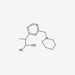 CC(c1cccc(CN2CCCCC2)c1)C(O)C#N